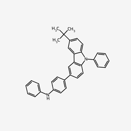 CC(C)(C)c1ccc2c(c1)c1cc(-c3ccc(Nc4ccccc4)cc3)ccc1n2-c1ccccc1